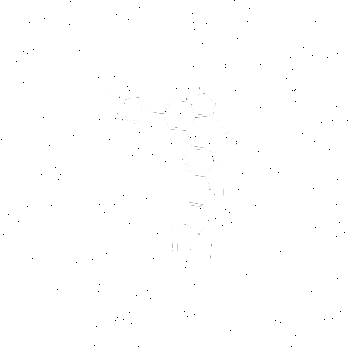 C=C(CC(N)(CC)CC)Nc1ccc(-c2cc(-c3cnn(C)c3)cn3ncc(C#N)c23)cn1